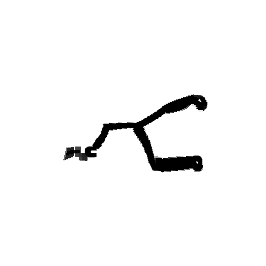 CCC(C=O)C=O